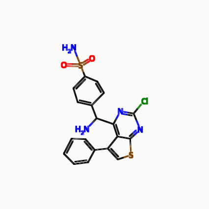 NC(c1ccc(S(N)(=O)=O)cc1)c1nc(Cl)nc2scc(-c3ccccc3)c12